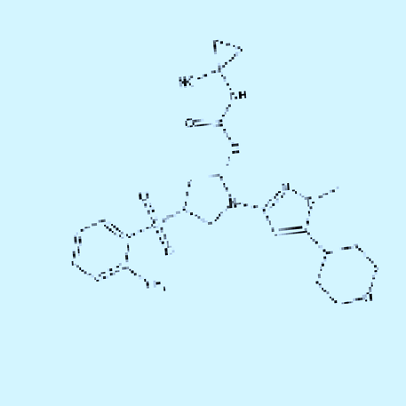 Cn1nc(N2C[C@H](S(=O)(=O)c3ccccc3C(F)(F)F)C[C@@H]2OC(=O)NC2(C#N)CC2)cc1C1CCOCC1